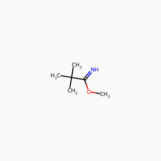 COC(=N)C(C)(C)C